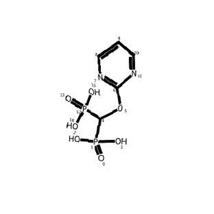 O=P(O)(O)C(Oc1ncccn1)P(=O)(O)O